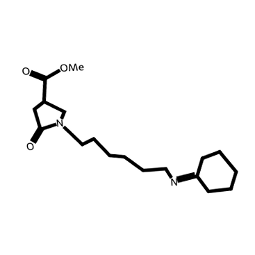 COC(=O)C1CC(=O)N(CCCCCCN=C2CCCCC2)C1